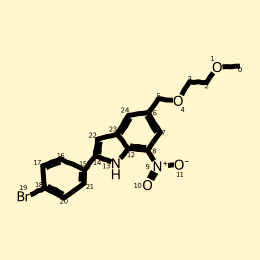 COCCOCc1cc([N+](=O)[O-])c2[nH]c(-c3ccc(Br)cc3)cc2c1